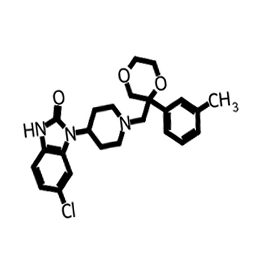 Cc1cccc(C2(CN3CCC(n4c(=O)[nH]c5ccc(Cl)cc54)CC3)COCCO2)c1